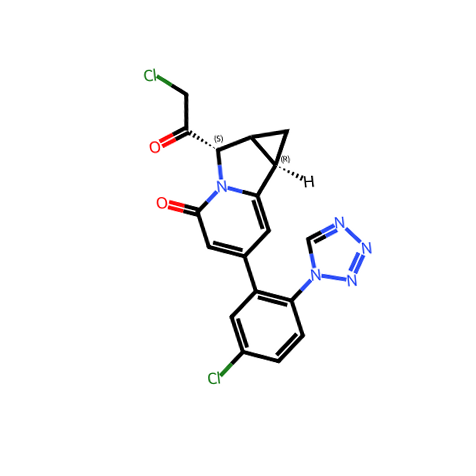 O=C(CCl)[C@@H]1C2C[C@H]2c2cc(-c3cc(Cl)ccc3-n3cnnn3)cc(=O)n21